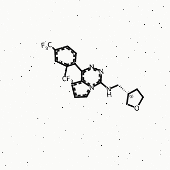 FC(F)(F)c1ccc(-c2nnc(NC[C@@H]3CCOC3)n3cccc23)c(C(F)(F)F)c1